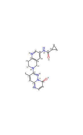 Cc1cc2nccc(=O)n2nc1N1CCc2ncc(NC(=O)C3CC3)cc2C1